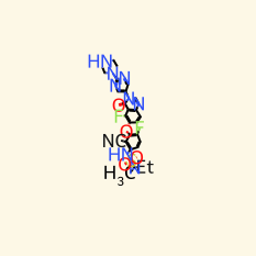 CCN(C)S(=O)(=O)Nc1ccc(F)c(Oc2ccc3ncn(-c4cnc(N5CCNCC5)nc4)c(=O)c3c2F)c1C#N